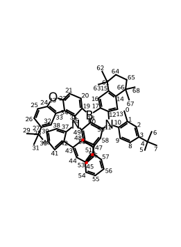 Cc1cc(C(C)(C)C)ccc1N1c2cc3c(cc2B2c4ccc5oc6ccc(C(C)(C)C)cc6c5c4N(c4ccccc4-c4ccccc4)c4cc(-c5ccccc5)cc1c42)C(C)(C)CCC3(C)C